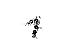 C=CC(=O)N1CCC(Oc2nc3c(Nc4ccc(Oc5ccc6cn(C)nc6c5)c(C)c4)ncnc3cc2OC)CC1